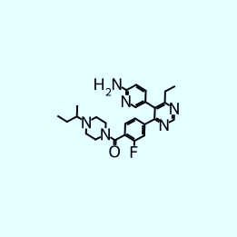 CCc1ncnc(-c2ccc(C(=O)N3CCN(C(C)CC)CC3)c(F)c2)c1-c1ccc(N)nc1